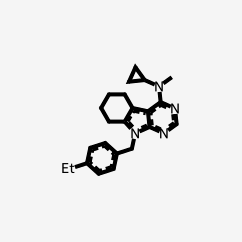 CCc1ccc(Cn2c3c(c4c(N(C)C5CC5)ncnc42)CCCC3)cc1